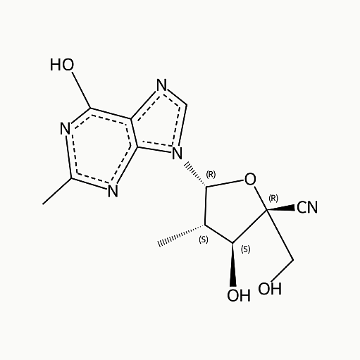 Cc1nc(O)c2ncn([C@@H]3O[C@](C#N)(CO)[C@@H](O)[C@@H]3C)c2n1